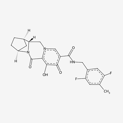 Cc1cc(F)c(CNC(=O)c2cn3c(c(O)c2=O)C(=O)N2[C@H]4CC[C@H](C4)[C@@H]2C3)cc1F